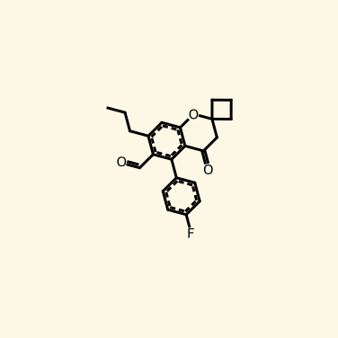 CCCc1cc2c(c(-c3ccc(F)cc3)c1C=O)C(=O)CC1(CCC1)O2